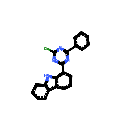 Clc1nc(-c2ccccc2)nc(-c2cccc3c2[nH]c2ccccc23)n1